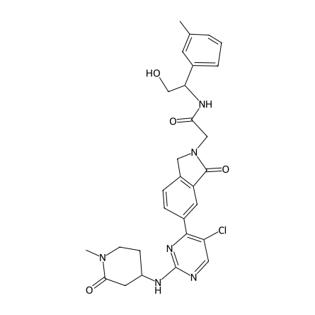 Cc1cccc(C(CO)NC(=O)CN2Cc3ccc(-c4nc(NC5CCN(C)C(=O)C5)ncc4Cl)cc3C2=O)c1